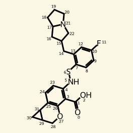 O=C(O)c1c(NSc2ccc(F)cc2CC2CC3CCCN3C2)ccc2c1OCC1CC21